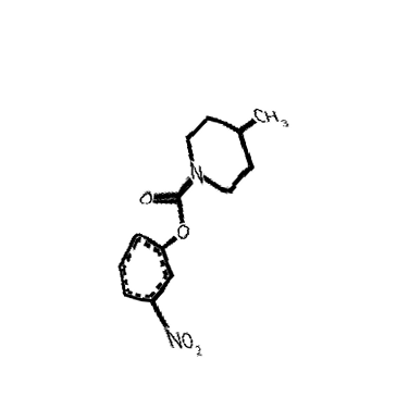 CC1CCN(C(=O)Oc2cccc([N+](=O)[O-])c2)CC1